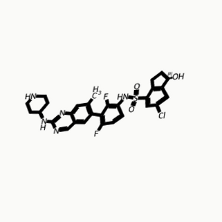 Cc1cc2nc(NC3CCNCC3)ncc2cc1-c1c(F)ccc(NS(=O)(=O)c2cc(Cl)cc3c2CC[C@H]3O)c1F